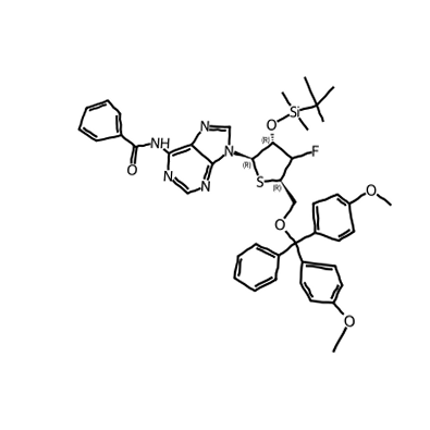 COc1ccc(C(OC[C@H]2S[C@@H](n3cnc4c(NC(=O)c5ccccc5)ncnc43)[C@H](O[Si](C)(C)C(C)(C)C)C2F)(c2ccccc2)c2ccc(OC)cc2)cc1